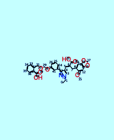 CCn1cc(/C=C(\Cc2cc3c(cc2OC)OCO3)C(=O)O)c(-c2cccc(OCOCc3ccccc3C(=O)O)c2)n1